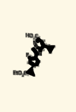 CCOC(=O)[C@H]1C[C@@H]1c1ccc(-c2cn3nc(C(=O)O)cc(C4CC4)c3n2)c(F)c1